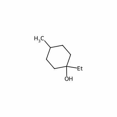 CCC1(O)CCC(C)CC1